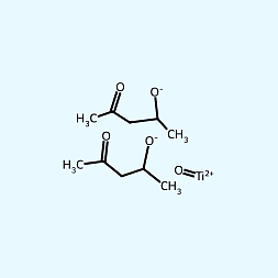 CC(=O)CC(C)[O-].CC(=O)CC(C)[O-].[O]=[Ti+2]